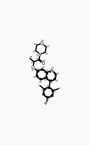 Cc1cc(F)cc(C)c1-c1ccnc2cc(OC(C)C(=O)N3CCOCC3)ccc12